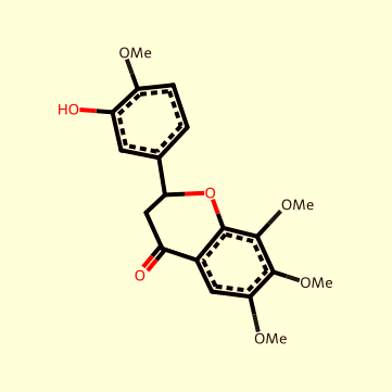 COc1ccc(C2CC(=O)c3cc(OC)c(OC)c(OC)c3O2)cc1O